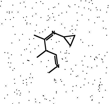 C/N=C\C(C)/C(C)=N\C1CC1